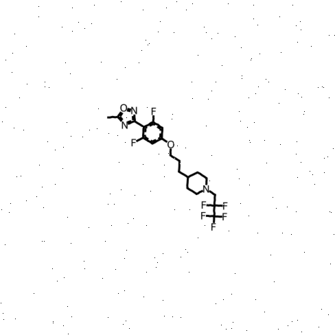 Cc1nc(-c2c(F)cc(OCCCC3CCN(CC(F)(F)C(F)(F)F)CC3)cc2F)no1